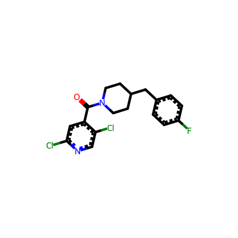 O=C(c1cc(Cl)ncc1Cl)N1CCC(Cc2ccc(F)cc2)CC1